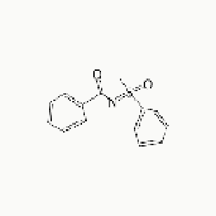 CS(=O)(=NC(=O)c1ccccc1)c1ccccc1